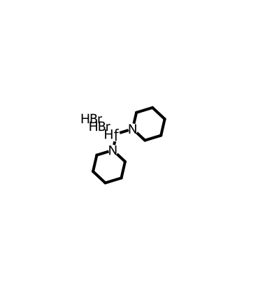 Br.Br.C1CC[N]([Hf][N]2CCCCC2)CC1